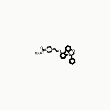 CC(C)(C)OC(=O)N1CCN(CCOc2cccc3c2c2cccc4c2n3C(c2ccccc2)CO4)CC1